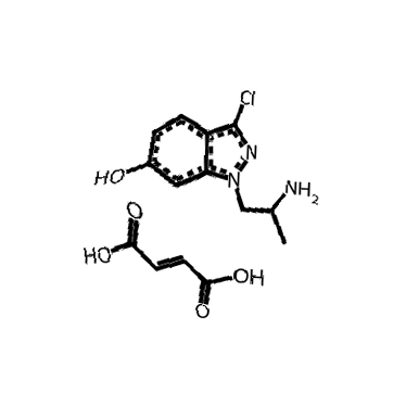 CC(N)Cn1nc(Cl)c2ccc(O)cc21.O=C(O)C=CC(=O)O